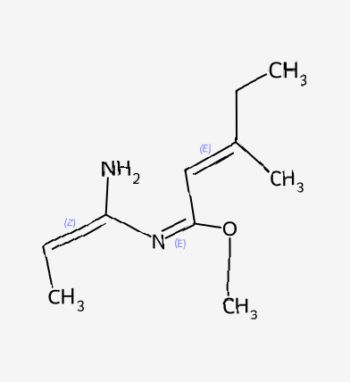 C\C=C(N)/N=C(\C=C(/C)CC)OC